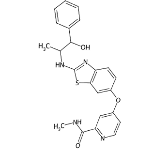 CNC(=O)c1cc(Oc2ccc3nc(NC(C)C(O)c4ccccc4)sc3c2)ccn1